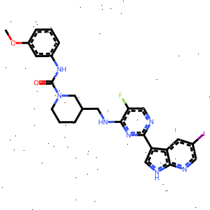 COc1cccc(NC(=O)N2CCCC(CNc3nc(-c4c[nH]c5ncc(I)cc45)ncc3F)C2)c1